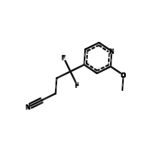 COc1cc(C(F)(F)CCC#N)ccn1